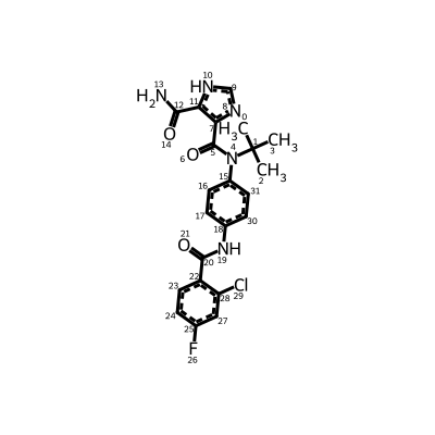 CC(C)(C)N(C(=O)c1nc[nH]c1C(N)=O)c1ccc(NC(=O)c2ccc(F)cc2Cl)cc1